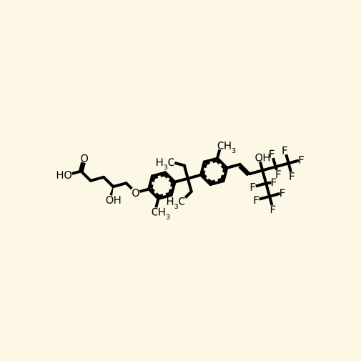 CCC(CC)(c1ccc(C=CC(O)(C(F)(F)C(F)(F)F)C(F)(F)C(F)(F)F)c(C)c1)c1ccc(OC[C@@H](O)CCC(=O)O)c(C)c1